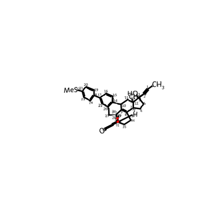 CC#C[C@]1(O)CC[C@H]2C3=C4C(C[C@@]21C)c1ccc(-c2ccc(SC)cc2)cc1C[C@@]41CCC(=O)C=C1CC3